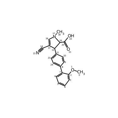 COc1ccccc1-c1ccc(C2C(C#N)=CN(C)C2C(=O)O)cc1